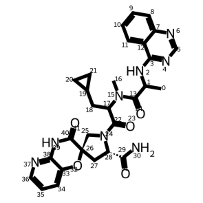 CC(Nc1ncnc2ccccc12)C(=O)N(C)C(CC1CC1)C(=O)N1C[C@@]2(C[C@H]1C(N)=O)Oc1cccnc1NC2=O